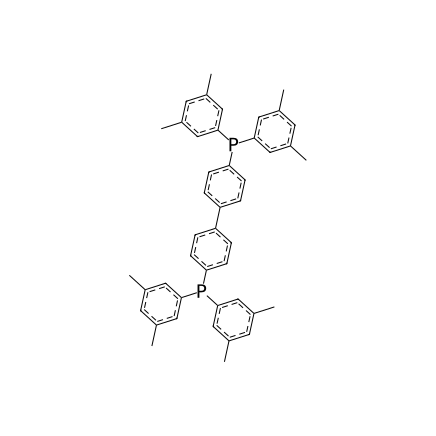 Cc1cc(C)cc(P(c2ccc(-c3ccc(P(c4cc(C)cc(C)c4)c4cc(C)cc(C)c4)cc3)cc2)c2cc(C)cc(C)c2)c1